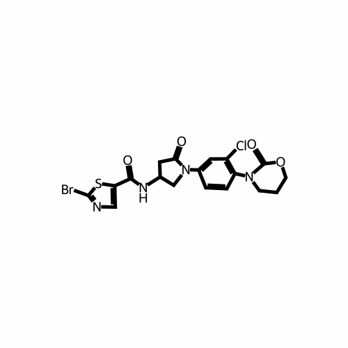 O=C(NC1CC(=O)N(c2ccc(N3CCCOC3=O)c(Cl)c2)C1)c1cnc(Br)s1